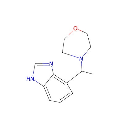 CC(c1cccc2[nH]cnc12)N1CCOCC1